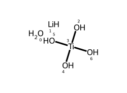 O.[LiH].[OH][Ti]([OH])([OH])[OH]